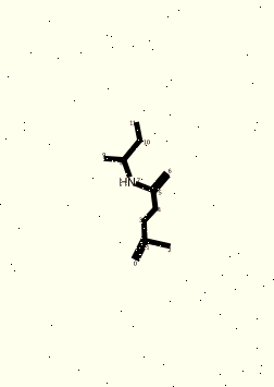 C=C(C)CCC(=C)NC(C)CC